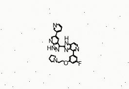 Fc1cc(OCCN2CCCC2)cc(-c2nccc3[nH]c(-c4n[nH]c5ncc(-c6cccnc6)cc45)nc23)c1